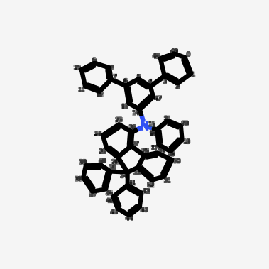 c1ccc(-c2cc(-c3ccccc3)cc(N(c3ccccc3)c3cccc4c3-c3ccccc3C4(c3ccccc3)c3ccccc3)c2)cc1